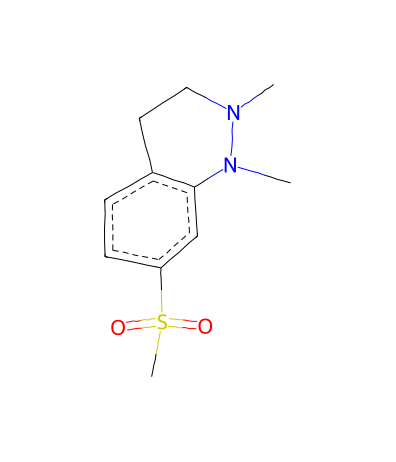 CN1CCc2ccc(S(C)(=O)=O)cc2N1C